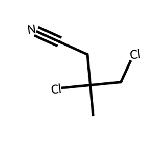 CC(Cl)(CCl)CC#N